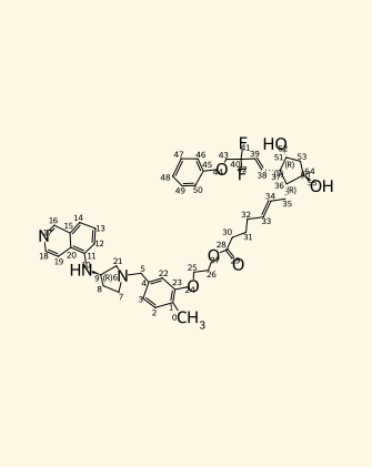 Cc1ccc(CN2CC[C@@H](Nc3cccc4cnccc34)C2)cc1OCCOC(=O)CCCC=CC[C@@H]1[C@H](C=CC(F)(F)COc2ccccc2)[C@H](O)C[C@H]1O